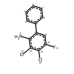 Nc1c(-c2ccccc2)cc(F)c(Cl)c1Cl